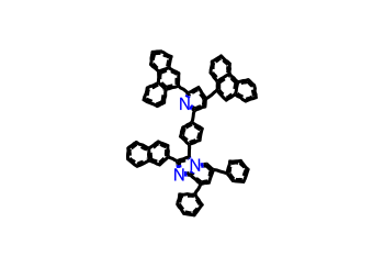 c1ccc(-c2cc(-c3ccccc3)c3nc(-c4ccc5ccccc5c4)c(-c4ccc(-c5cc(-c6cc7ccccc7c7ccccc67)cc(-c6cc7ccccc7c7ccccc67)n5)cc4)n3c2)cc1